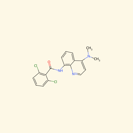 CN(C)c1ccnc2c(NC(=O)c3c(Cl)cccc3Cl)cccc12